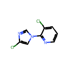 Clc1cn(-c2ncccc2Cl)[c]n1